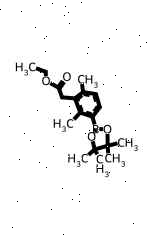 CCOC(=O)Cc1c(C)ccc(B2OC(C)(C)C(C)(C)O2)c1C